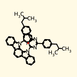 CC(C)Cc1ccc(-c2nc(-c3ccc(CC(C)C)cc3)nc(-n3c4ccccc4c4ccc5c6ccccc6n(-c6ccccc6)c5c43)n2)cc1